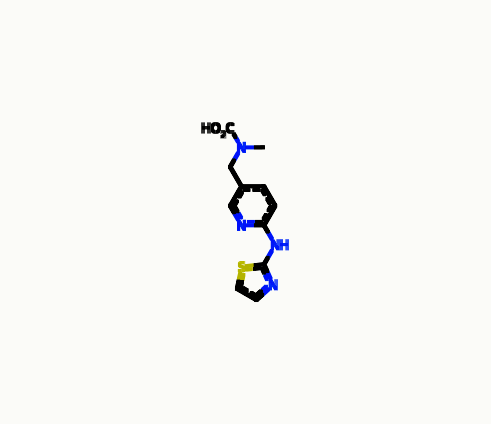 CN(Cc1ccc(Nc2nccs2)nc1)C(=O)O